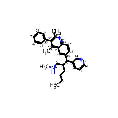 CCCCC(CNC)C(c1cccnc1)c1ccc2nc(C)c(-c3ccccc3)c(C)c2c1